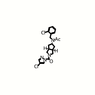 CC(=O)N(Cc1ccccc1Cl)[C@@H]1C[C@@H]2CN(C(=O)n3cc(Cl)cn3)C[C@@H]2C1